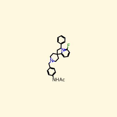 CC(=O)Nc1ccc(CN2CCC(CCc3ccccc3)(c3cccc(F)n3)CC2)cc1